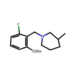 COc1cccc(F)c1CN1CCCC(C)C1